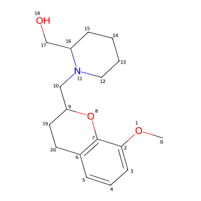 COc1cccc2c1OC(CN1CCCCC1CO)CC2